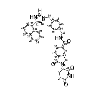 O=C1CCC(N2Cc3cc(C(=O)NCc4ccc(CN5C=C(c6cccc7ccccc67)NN5)cc4)ccc3C2=O)C(=O)N1